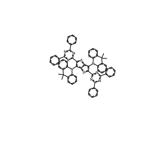 CC1(C)c2ccccc2N(c2c(-c3nc(-c4ccccc4)nc(-c4ccccc4)n3)sc3c(N4c5ccccc5C(C)(C)c5ccccc54)c(-c4nc(-c5ccccc5)nc(-c5ccccc5)n4)sc23)c2ccccc21